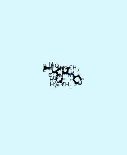 Cc1nn2c(O)c(C(=O)NC3CC3)c(=O)n(CC(C)(C)C)c2c1/C=C/C1CCOCC1